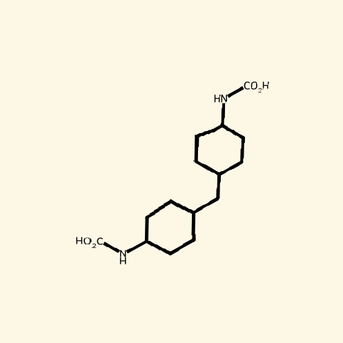 O=C(O)NC1CCC(CC2CCC(NC(=O)O)CC2)CC1